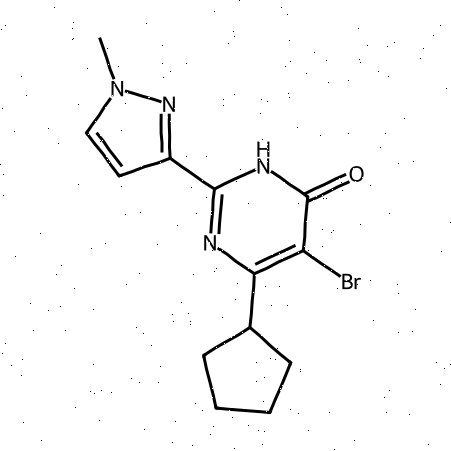 Cn1ccc(-c2nc(C3CCCC3)c(Br)c(=O)[nH]2)n1